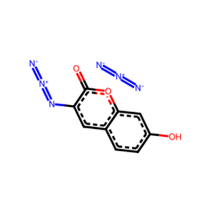 [N-]=[N+]=Nc1cc2ccc(O)cc2oc1=O.[N-]=[N+]=[N-]